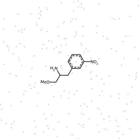 COCC(N)Cc1cccc([N+](=O)[O-])c1